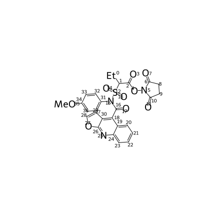 CCC(C(=O)ON1C(=O)CCC1=O)S(=O)(=O)N(C(=O)c1c2ccccc2nc2occc12)c1ccc(OC)cc1